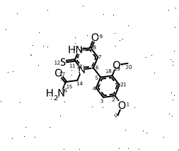 COc1ccc(-c2cc(=O)[nH]c(=S)n2CC(N)=O)c(OC)c1